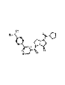 CCN(CC)c1ccc(C(=O)NC(CC(C)C)C(=O)N2CCC3C2C(=O)CN3C(=O)C2CCCC2)cc1